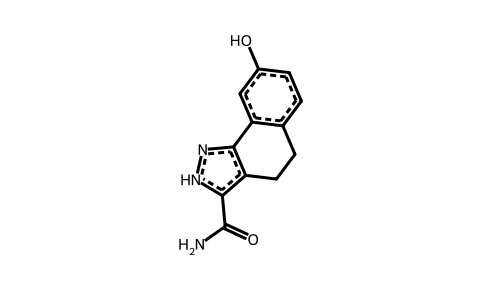 NC(=O)c1[nH]nc2c1CCc1ccc(O)cc1-2